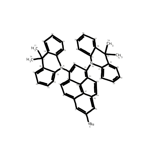 CC(C)(C)c1cc2ccc3c(N4c5ccccc5C(C)(C)c5ccccc54)cc(N4c5ccccc5C(C)(C)c5ccccc54)c4ccc(c1)c2c34